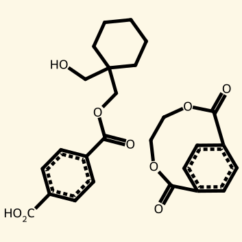 O=C(O)c1ccc(C(=O)OCC2(CO)CCCCC2)cc1.O=C1OCCOC(=O)c2ccc1cc2